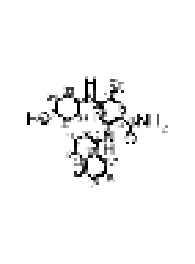 CCc1nc(C(N)=O)c(Nc2cccc3ccccc23)nc1N[C@H]1CC[C@H](O)CC1